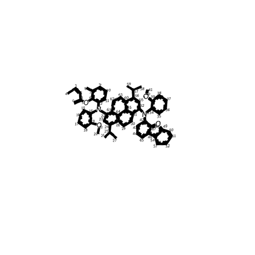 C=C(/C=C\C)Oc1c(C)cccc1N(c1ccccc1OC)c1cc(C(C)C)c2ccc3c(N(c4ccccc4OC)c4cccc5c4oc4ccccc45)cc(C(C)C)c4ccc1c2c43